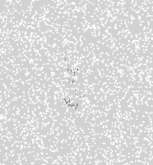 COc1cc2c(cc1OCCCC(=O)Nc1cc(C(=O)Nc3ccc4sc(I)cc4c3)n(C)c1)NC(S(=O)(=O)O)[C@@H]1Cc3ccccc3N1C2=O